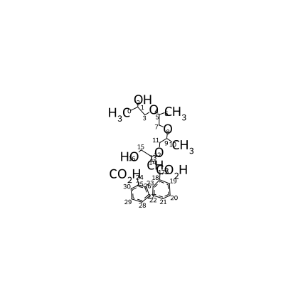 CC(O)COC(C)COC(C)COC(C)CO.O=C(O)c1ccccc1.O=C(O)c1ccccc1